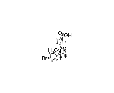 CN(C(=O)C1CCN(C(=O)O)C1)C(F)(c1ccc(Br)cc1)C(F)F